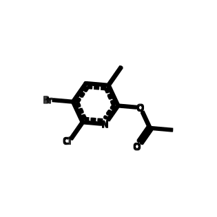 CC(=O)Oc1nc(Cl)c(Br)cc1C